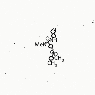 CNC[C@@H](C(=O)Nc1ccc2cnccc2c1)c1ccc(COC(=O)c2ccc(C)cc2C)cc1